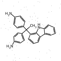 CC(c1ccc(N)cc1)(c1ccc(N)cc1)c1cccc2c1[nH]c1ccccc12